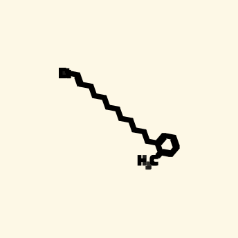 CCC=CCCCCCCCCCCc1ccccc1C